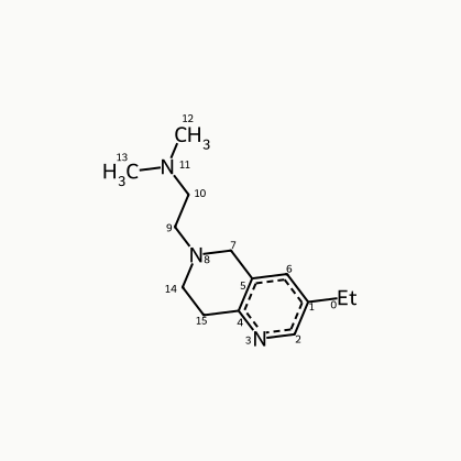 CCc1cnc2c(c1)CN(CCN(C)C)CC2